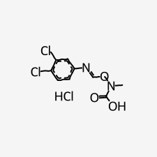 CN(OC=Nc1ccc(Cl)c(Cl)c1)C(=O)O.Cl